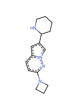 c1cc2cc(C3CCCCN3)cn2nc1N1CCC1